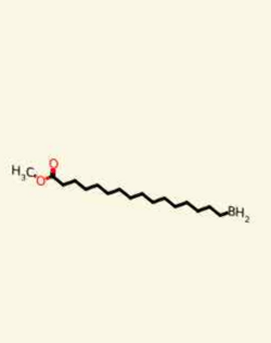 BCCCCCCCCCCCCCCCC(=O)OC